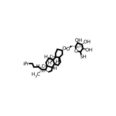 CC(C)CCC[C@@H](C)[C@H]1CC[C@H]2[C@@H]3CC=C4CC(OOC[C@H]5OC(S)[C@H](O)[C@@H](O)[C@H]5O)CC[C@]4(C)[C@H]3CC[C@]12C